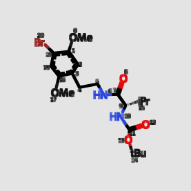 COc1cc(CCNC(=O)[C@@H](NC(=O)OC(C)(C)C)C(C)C)c(OC)cc1Br